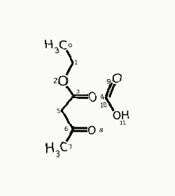 CCOC(=O)CC(C)=O.O=CO